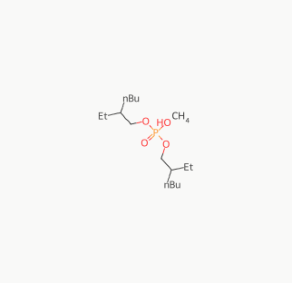 C.CCCCC(CC)COP(=O)(O)OCC(CC)CCCC